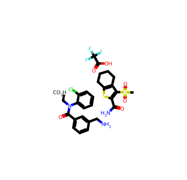 CS(=O)(=O)c1c(C(N)=O)sc2c1CCCC2.NCc1cccc(C(=O)N(CC(=O)O)c2ccccc2Cl)c1.O=C(O)C(F)(F)F